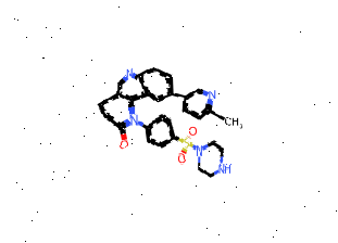 Cc1ccc(-c2ccc3ncc4ccc(=O)n(-c5ccc(S(=O)(=O)N6CCNCC6)cc5)c4c3c2)cn1